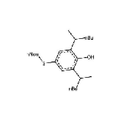 CCCCCCCCCSc1cc(C(C)CCCC)c(O)c(C(C)CCCC)c1